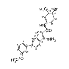 COc1cccc(-c2ccc3c(N)c(C(=O)Nc4ccc(Br)c(C)c4)sc3n2)c1